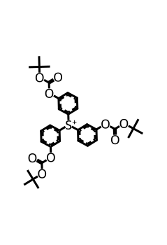 CC(C)(C)OC(=O)Oc1cccc([S+](c2cccc(OC(=O)OC(C)(C)C)c2)c2cccc(OC(=O)OC(C)(C)C)c2)c1